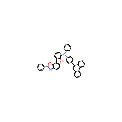 c1ccc(-c2nc3ccc4oc5c(N(c6ccccc6)c6ccc(-c7cc8ccccc8c8ccccc78)cc6)cccc5c4c3o2)cc1